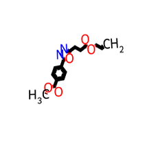 C=CCOC(=O)CCc1nnc(-c2ccc(C(=O)OC)cc2)o1